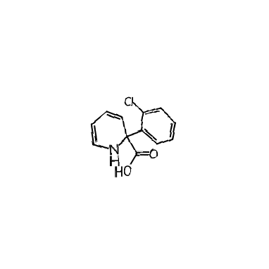 O=C(O)C1(c2ccccc2Cl)C=CC=CN1